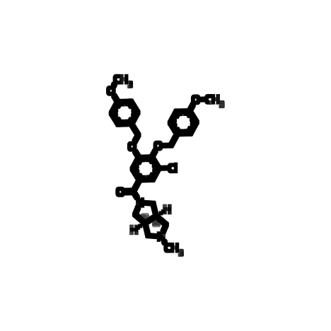 COc1ccc(COc2cc(C(=O)N3C[C@H]4CN(C)C[C@H]4C3)cc(Cl)c2OCc2ccc(OC)cc2)cc1